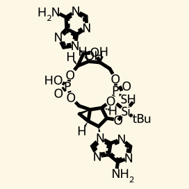 CC(C)(C)[Si](C)(C)OC1[C@H](n2cnc3c(N)ncnc32)[C@H]2C[C@]23COP(=O)(O)O[C@@H]2[C@H](O)[C@@H](CO[P@@](=O)(S)O[C@@H]13)O[C@H]2n1cnc2c(N)ncnc21